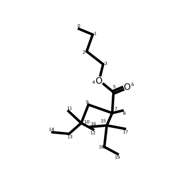 CCCCOC(=O)C(C)(CC(C)(C)CC)C(C)(C)CC